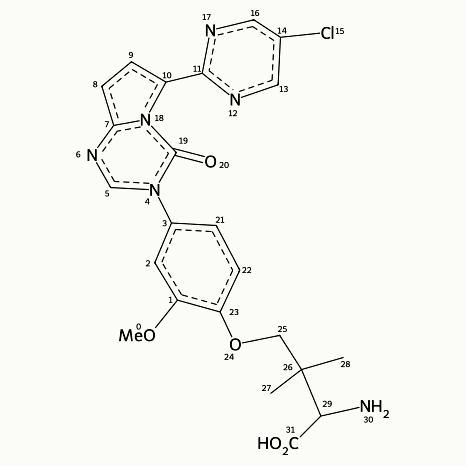 COc1cc(-n2cnc3ccc(-c4ncc(Cl)cn4)n3c2=O)ccc1OCC(C)(C)C(N)C(=O)O